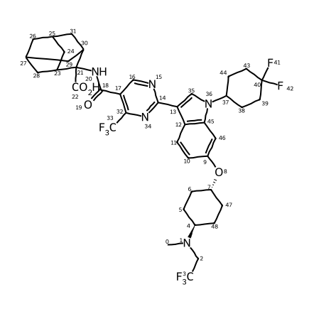 CN(CC(F)(F)F)[C@H]1CC[C@H](Oc2ccc3c(-c4ncc(C(=O)NC5(C(=O)O)C6CC7CC(C6)CC5C7)c(C(F)(F)F)n4)cn(C4CCC(F)(F)CC4)c3c2)CC1